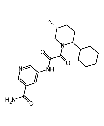 C[C@@H]1CCC(C2CCCCC2)N(C(=O)C(=O)Nc2cncc(C(N)=O)c2)C1